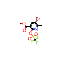 COC(=O)c1cc(Br)c(C)nc1OS(=O)(=O)C(F)(F)F